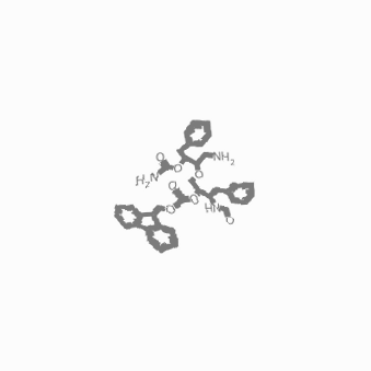 NCC(OCC(OC(=O)OCC1c2ccccc2-c2ccccc21)C(Cc1ccccc1)NC=O)C(Cc1ccccc1)OC(N)=O